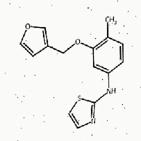 Cc1ccc(Nc2nccs2)cc1OCc1ccoc1